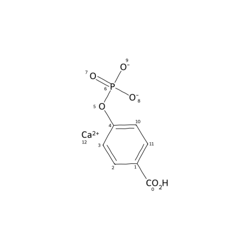 O=C(O)c1ccc(OP(=O)([O-])[O-])cc1.[Ca+2]